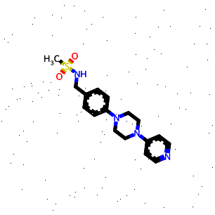 CS(=O)(=O)NCc1ccc(N2CCN(c3ccncc3)CC2)cc1